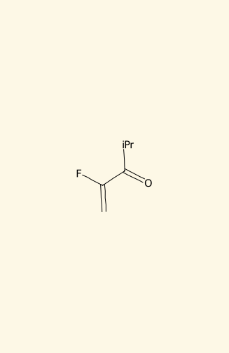 C=C(F)C(=O)C(C)C